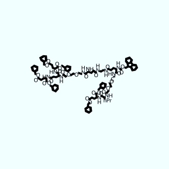 CCCC(NC(=O)COCCOCCNC(=O)C(CCC(=O)NCCNC(=O)CCC(N)C(=O)NCCOCCOCC(=O)NC(CCC(=O)NC(CCC(=O)OCc1ccccc1)C(=O)OCc1ccccc1)C(=O)NC(CCC(=O)OCc1ccccc1)C(=O)OCc1ccccc1)NC(=O)OCC1c2ccccc2-c2ccccc21)C(=O)NC(CCC(=O)OCc1ccccc1)C(=O)OCc1ccccc1